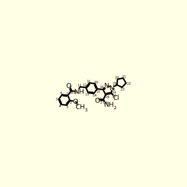 COc1ccccc1C(=O)NCc1ccc(-c2nn(C3CCCC3)c(Cl)c2C(N)=O)cc1